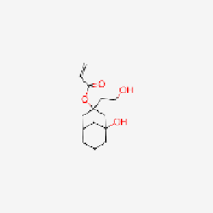 C=CC(=O)OC1(CCO)CC2CCCC(O)(C2)C1